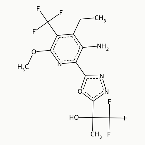 CCc1c(N)c(-c2nnc(C(C)(O)C(F)(F)F)o2)nc(OC)c1C(F)(F)F